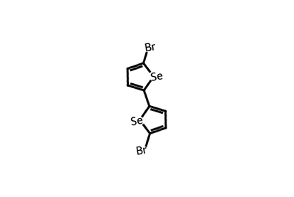 Brc1ccc(-c2ccc(Br)[se]2)[se]1